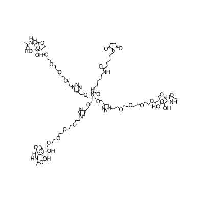 CC(=O)N[C@H]1[C@@H]2OC[C@](COCCOCCOCCOCCn3cc(COCC(COCc4cn(CCOCCOCCOCCOC[C@@]56CO[C@@H](O5)[C@H](NC(C)=O)[C@@H](O)[C@H]6O)nn4)(COCc4cn(CCOCCOCCOCCOC[C@@]56CO[C@@H](O5)[C@H](NC(C)=O)[C@@H](O)[C@H]6O)nn4)NC(=O)CCCCCNC(=O)CCCCCN4C(=O)C=CC4=O)nn3)(O2)[C@H](O)[C@@H]1O